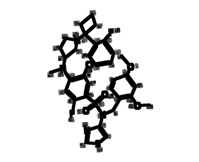 COc1ccc(CN(c2cscn2)S(=O)(=O)c2cc(Cl)c(N(C)C3CCN(C4(c5ccccc5F)CCC4)C3)cc2F)c(OC)c1